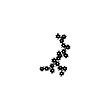 c1ccc(-c2ccc(-n3c4ccccc4c4cc(-n5c6cc(-c7ccc8c(c7)c7ccccc7n8-c7ccccc7)ccc6c6c(-c7ccc8cc(-n9c%10ccccc%10c%10cc(-n%11c%12ccccc%12c%12cc(-c%13ccc%14c(c%13)c%13ccccc%13n%14-c%13ccccc%13)ccc%12%11)ccc%109)c9ccccc9c8c7)cccc65)ccc43)cc2)cc1